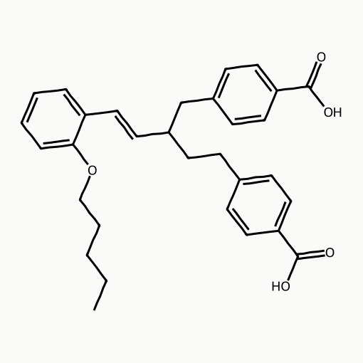 CCCCCOc1ccccc1/C=C/C(CCc1ccc(C(=O)O)cc1)Cc1ccc(C(=O)O)cc1